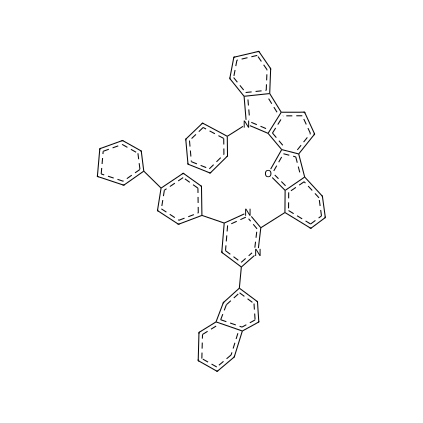 c1ccc(-c2ccc(-c3cc(-c4ccc5ccccc5c4)nc(-c4cccc5c4oc4c5ccc5c6ccccc6n(-c6ccccc6)c54)n3)cc2)cc1